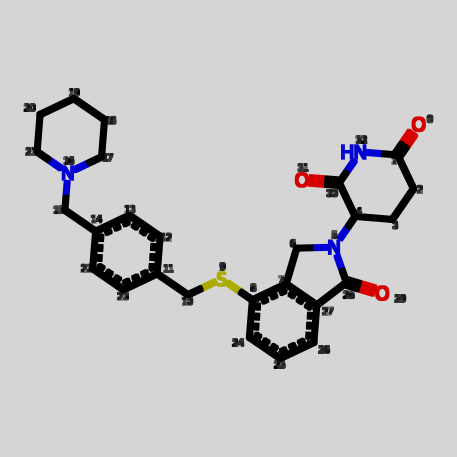 O=C1CCC(N2Cc3c(SCc4ccc(CN5CCCCC5)cc4)cccc3C2=O)C(=O)N1